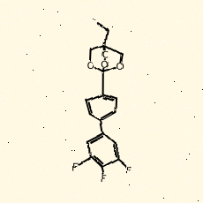 CCC12COC(c3ccc(-c4cc(F)c(F)c(F)c4)cc3)(OC1)OC2